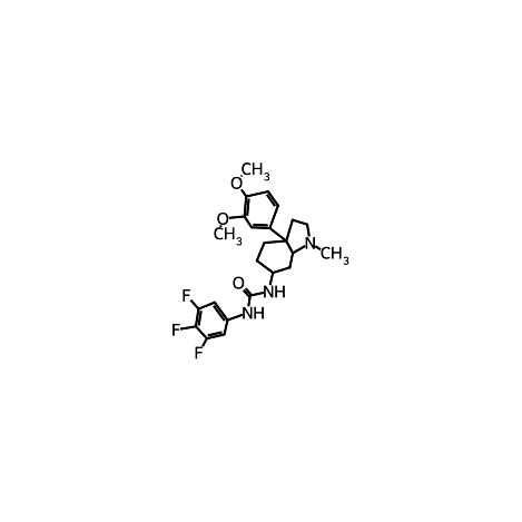 COc1ccc(C23CCC(NC(=O)Nc4cc(F)c(F)c(F)c4)CC2N(C)CC3)cc1OC